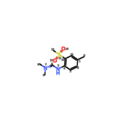 Cc1ccc(NC=[N+](C)C)c(S(C)(=O)=O)c1